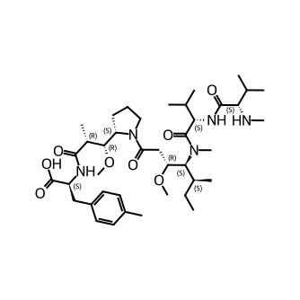 CC[C@H](C)[C@@H]([C@@H](CC(=O)N1CCC[C@H]1[C@H](OC)[C@@H](C)C(=O)N[C@@H](Cc1ccc(C)cc1)C(=O)O)OC)N(C)C(=O)[C@@H](NC(=O)[C@@H](NC)C(C)C)C(C)C